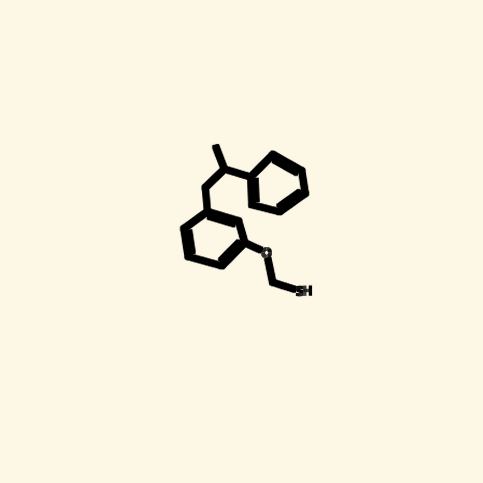 CC(Cc1cccc(OCS)c1)c1ccccc1